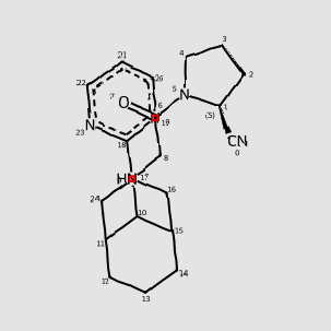 N#C[C@@H]1CCCN1C(=O)CNC1C2CCCC1CN(c1ncccn1)C2